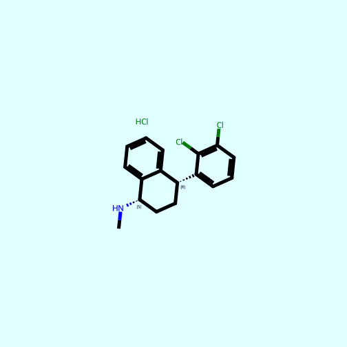 CN[C@H]1CC[C@@H](c2cccc(Cl)c2Cl)c2ccccc21.Cl